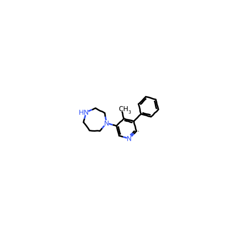 Cc1c(-c2ccccc2)[c]ncc1N1CCCNCC1